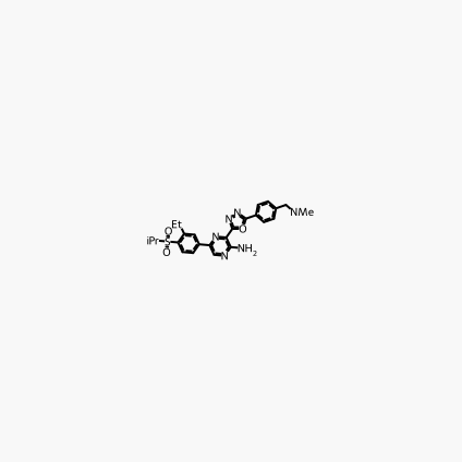 CCc1cc(-c2cnc(N)c(-c3nnc(-c4ccc(CNC)cc4)o3)n2)ccc1S(=O)(=O)C(C)C